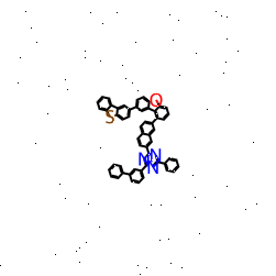 c1ccc(-c2cccc(-c3nc(-c4ccccc4)nc(-c4ccc5ccc(-c6cccc7oc8ccc(-c9ccc%10sc%11ccccc%11c%10c9)cc8c67)cc5c4)n3)c2)cc1